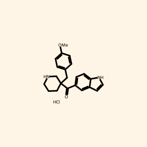 COc1ccc(CC2(C(=O)c3ccc4[nH]ccc4c3)CCCNC2)cc1.Cl